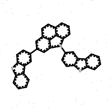 c1ccc2c(c1)oc1ccc(-n3c4cccc5ccc6cc(-c7ccc8sc9ccccc9c8c7)cc3c6c54)cc12